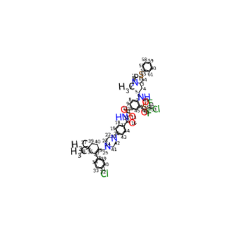 CC(C)N(C)C(CCNc1ccc(S(=O)(=O)NC(=O)c2ccc(N3CCN(CC4=C(c5ccc(Cl)cc5)CC(C)(C)CC4)CC3)cc2)cc1S(=O)(=O)C(F)(F)Cl)CSc1ccccc1